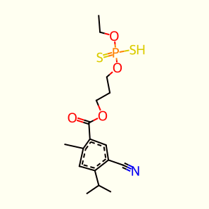 CCOP(=S)(S)OCCCOC(=O)c1cc(C#N)c(C(C)C)cc1C